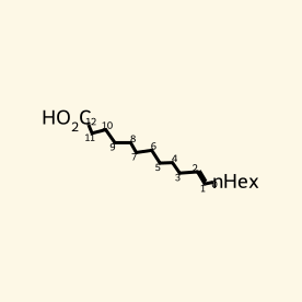 CCCCCC/C=C/CCCCCCCCC[13C](=O)O